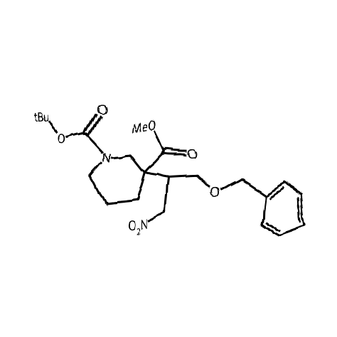 COC(=O)C1(C(COCc2ccccc2)C[N+](=O)[O-])CCCN(C(=O)OC(C)(C)C)C1